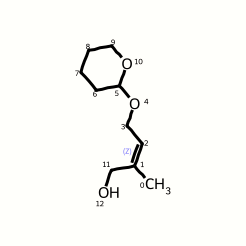 C/C(=C/COC1CCCCO1)CO